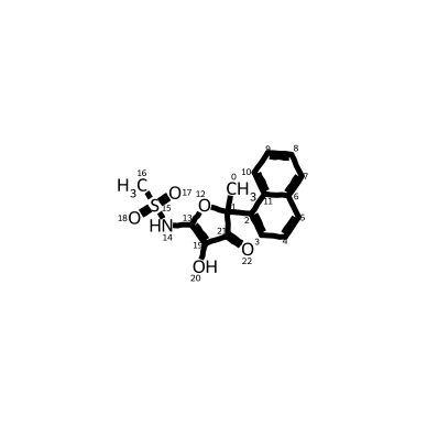 CC1(c2cccc3ccccc23)OC(NS(C)(=O)=O)=C(O)C1=O